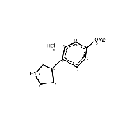 COc1ccc(C2CCNC2)cc1.Cl